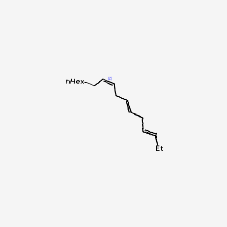 [CH2]CCCCCC/C=C\CC=CCC=CCC